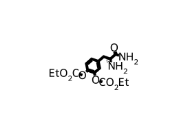 CCOC(=O)Oc1ccc(C[C@H](N)C(N)=O)cc1OC(=O)OCC